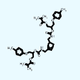 C=C(C)C(=O)OCC(COc1ccc(C)cc1)OC(=O)NCC1CC2CC(CNC(=O)OC(COC(=O)C(=C)C)COc3ccc(C)cc3)C1C2